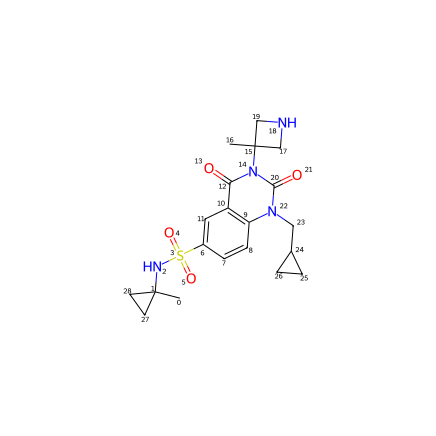 CC1(NS(=O)(=O)c2ccc3c(c2)c(=O)n(C2(C)CNC2)c(=O)n3CC2CC2)CC1